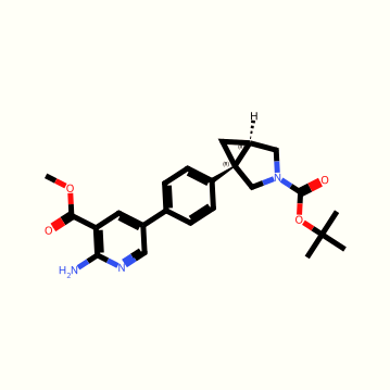 COC(=O)c1cc(-c2ccc([C@@]34C[C@H]3CN(C(=O)OC(C)(C)C)C4)cc2)cnc1N